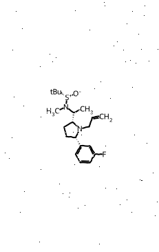 C=CCN1[C@@H](C(C)N(C)[S@@+]([O-])C(C)(C)C)CC[C@H]1c1cccc(F)c1